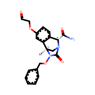 NC(=O)[C@H]1c2ccc(OCC=O)cc2[C@H]2CN1C(=O)N2OCc1ccccc1